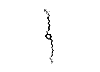 [N-]=[N+]=NCCCCCCOc1ccc(OCCCCCCN=[N+]=[N-])cc1